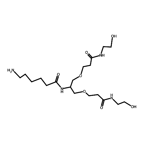 NCCCCCC(=O)NC(COCCC(=O)NCCO)COCCC(=O)NCCO